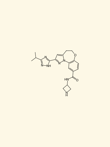 CC(C)c1n[nH]c(-c2cc3n(n2)-c2cc(C(=O)NC4CNC4)ccc2OCC3)n1